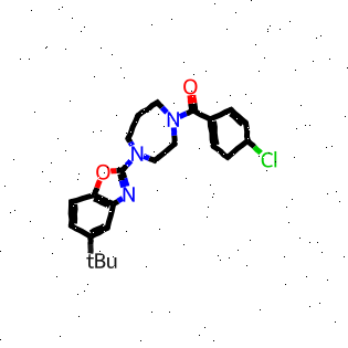 CC(C)(C)c1ccc2oc(N3CCCN(C(=O)C4=CCC(Cl)C=C4)CC3)nc2c1